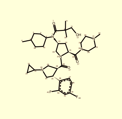 CC1CCC(N(C(=O)C(C)(C)CO)[C@H]2C[C@@H](C(=O)N3CCN(C)CC3)N(C(=O)[C@@H]3CN(C4CC4)C[C@H]3c3ccc(F)cc3F)C2)CC1